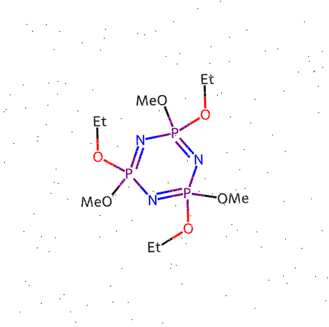 CCOP1(OC)=NP(OC)(OCC)=NP(OC)(OCC)=N1